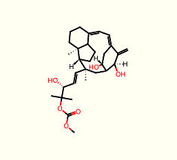 C=C1/C2=C/C=C3/CCC[C@@]4(C)C3CC[C@@H]4[C@](C)(/C=C/[C@@H](O)C(C)(C)OC(=O)OC)CC([C@H](O)C2)[C@@H]1O